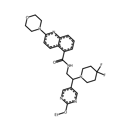 CCOc1ncc(C(CNC(=O)c2cccc3nc(N4CCOCC4)ccc23)N2CCC(F)(F)CC2)cn1